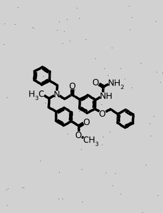 COC(=O)c1ccc(CC(C)N(CC(=O)c2ccc(OCc3ccccc3)c(NC(N)=O)c2)Cc2ccccc2)cc1